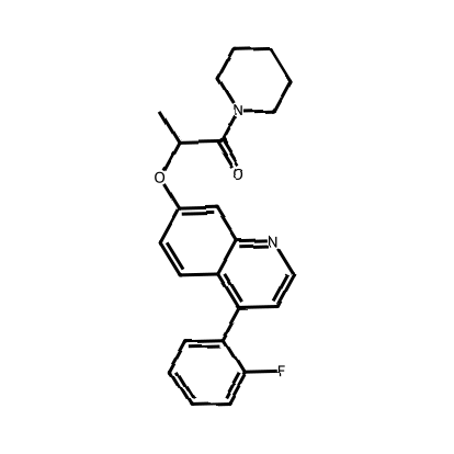 CC(Oc1ccc2c(-c3ccccc3F)ccnc2c1)C(=O)N1CCCCC1